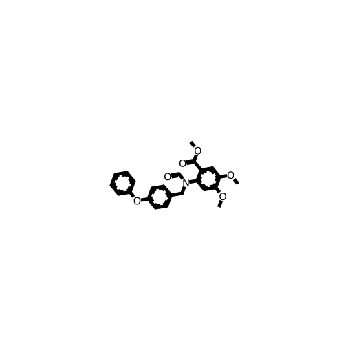 COC(=O)c1cc(OC)c(OC)cc1N(C=O)Cc1ccc(Oc2ccccc2)cc1